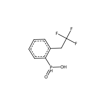 O=[PH](O)c1ccccc1CC(F)(F)F